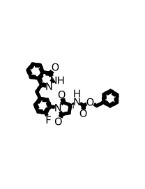 O=C(N[C@H]1CC(=O)N(c2cc(Cc3n[nH]c(=O)c4ccccc34)ccc2F)C1=O)OCc1ccccc1